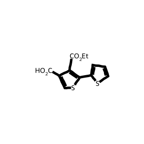 CCOC(=O)c1c(C(=O)O)csc1-c1cccs1